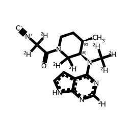 [2H]c1nc(N([C@@H]2[C@H](C)CCN(C(=O)C([2H])([2H])[N+]#[C-])C2([2H])[2H])C([2H])([2H])[2H])c2cc[nH]c2n1